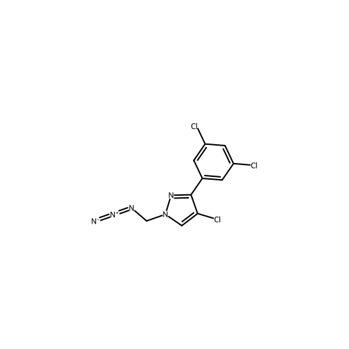 [N-]=[N+]=NCn1cc(Cl)c(-c2cc(Cl)cc(Cl)c2)n1